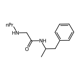 CCCNCC(=O)NC(C)Cc1ccccc1